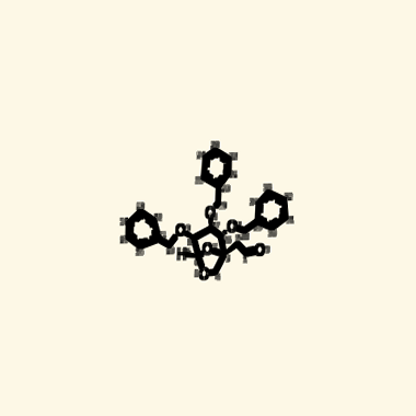 O=CC[C@@]12CO[C@@H](O1)[C@@H](OCc1ccccc1)[C@@H](OCc1ccccc1)[C@@H]2OCc1ccccc1